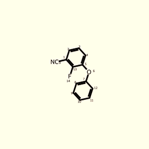 N#Cc1cccc(Oc2ccccc2)c1F